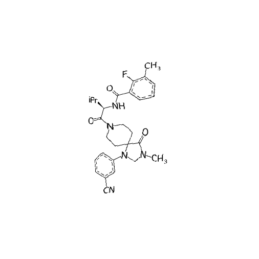 Cc1cccc(C(=O)N[C@@H](C(=O)N2CCC3(CC2)C(=O)N(C)CN3c2cccc(C#N)c2)C(C)C)c1F